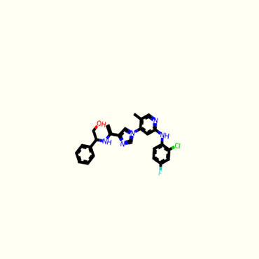 C=C(NC(CO)c1ccccc1)c1cn(-c2cc(Nc3ccc(F)cc3Cl)ncc2C)cn1